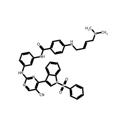 CN(C)C/C=C/CNc1ccc(C(=O)Nc2cccc(Nc3ncc(C#N)c(-c4cn(S(=O)(=O)c5ccccc5)c5ccccc45)n3)c2)cc1